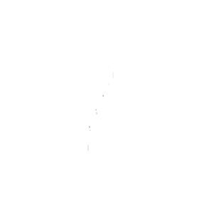 CCCCC=CCCC=CCCC=CCOCC(F)(F)F